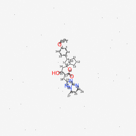 CCCOc1ccc(CCC2(C3CCCC3)CC(O)=C(Cc3nc4nc(C)cc(C)n4n3)C(=O)O2)cc1